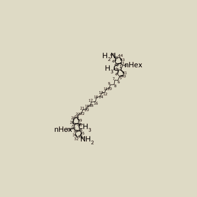 CCCCCCC(c1ccc(CCCCCCCCCCCCCCCCCCc2ccc(C(CCCCCC)c3ccc(N)cc3C)cc2)cc1)c1ccc(N)cc1C